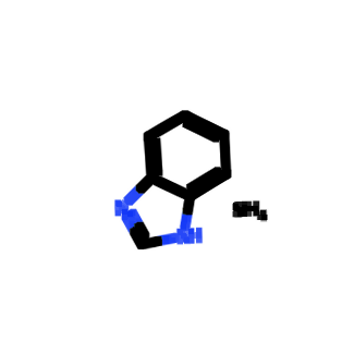 [SiH4].c1ccc2[nH]cnc2c1